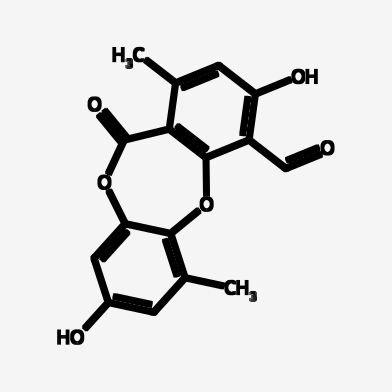 Cc1cc(O)cc2c1Oc1c(C=O)c(O)cc(C)c1C(=O)O2